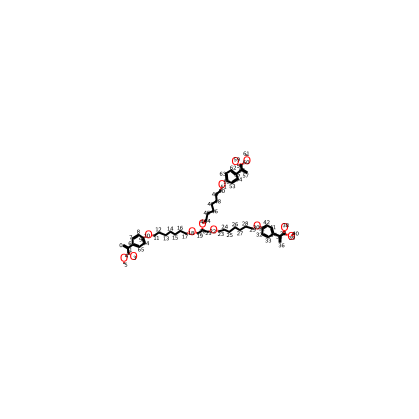 C=C(C(=O)OC)c1ccc(OCCCCCCCOCC(COCCCCCCCOc2ccc(C(=C)C(=O)OC)cc2)OCCCCCCCOc2ccc(C(=C)C(=O)OC)cc2)cc1